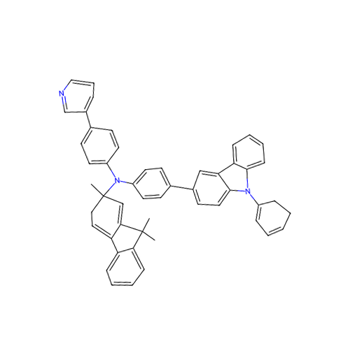 CC1(C)C2=CC(C)(N(c3ccc(-c4cccnc4)cc3)c3ccc(-c4ccc5c(c4)c4ccccc4n5C4=CC=CCC4)cc3)CC=C2c2ccccc21